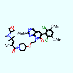 CNc1ncc2cc(-c3c(Cl)c(OC)cc(OC)c3Cl)c(=O)n(CCOC3CCN(C(=O)C(C#N)=CC(C)(C)N(C)C4COC4)CC3)c2n1